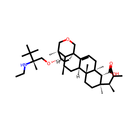 CCN[C@@](C)(CO[C@H]1[C@H](C)C[C@@]23COC[C@@]1(C)[C@@H]2CC[C@H]1C3=CC[C@@]2(C)[C@H](C(=O)O)[C@@](C)([C@H](C)C(C)C)CC[C@]12C)C(C)(C)C